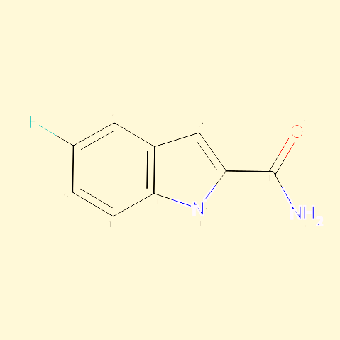 NC(=O)C1=Cc2cc(F)ccc2[N]1